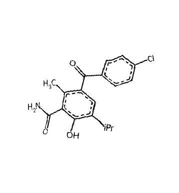 Cc1c(C(=O)c2ccc(Cl)cc2)cc(C(C)C)c(O)c1C(N)=O